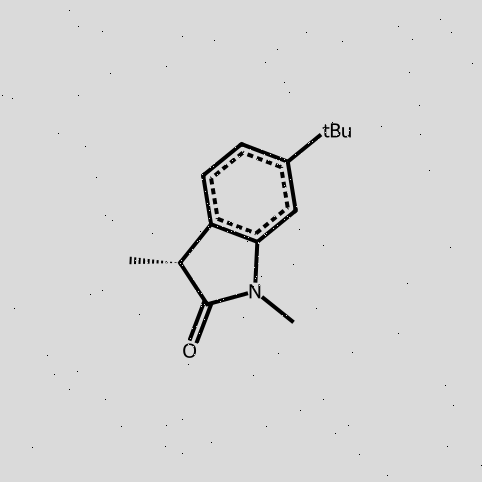 C[C@H]1C(=O)N(C)c2cc(C(C)(C)C)ccc21